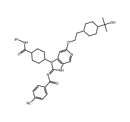 CC(C)NC(=O)C1CCC(n2/c(=N/C(=O)c3ccc(C#N)cc3)[nH]c3cnc(OCCN4CCC(C(C)(C)O)CC4)cc32)CC1